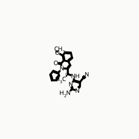 COc1cccc2cc([C@H](C)Nc3nc(N)ncc3C#N)n(-c3ccccc3)c(=O)c12